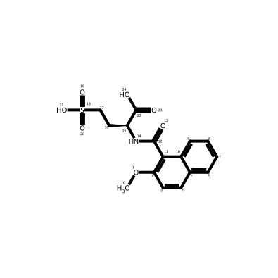 COc1ccc2ccccc2c1C(=O)N[C@@H](CCS(=O)(=O)O)C(=O)O